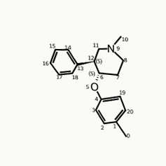 Cc1ccc(O[C@H]2CCN(C)C[C@@H]2c2ccccc2)cc1